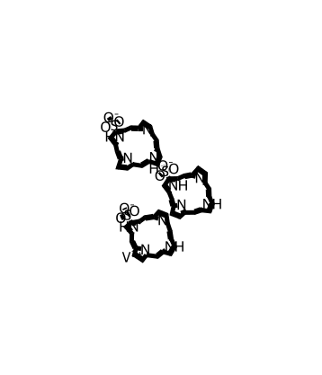 O=S(=O)([O-])c1cc2cc3nc(cc4ccc(cc5nc(cc1[nH]2)C=C5)[nH]4)C=C3.O=S(=O)([O-])c1cc2cc3nc(cc4ccc(cc5nc(cc1[nH]2)C=C5)[nH]4)C=C3.O=S(=O)([O-])c1cc2cc3nc(cc4ccc(cc5nc(cc1[nH]2)C=C5)[nH]4)C=C3.[V+3]